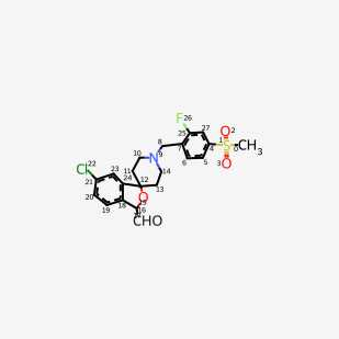 CS(=O)(=O)c1ccc(CN2CCC3(CC2)OC(C=O)c2ccc(Cl)cc23)c(F)c1